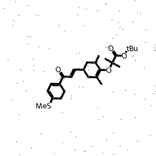 CSC1=CC=C(C(=O)/C=C/C2CC(C)=C(OC(C)(C)C(=O)OC(C)(C)C)C(C)C2)CC1